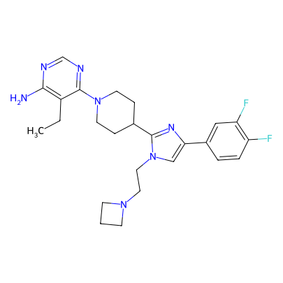 CCc1c(N)ncnc1N1CCC(c2nc(-c3ccc(F)c(F)c3)cn2CCN2CCC2)CC1